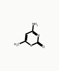 CC1=CC(N)=NC(=O)[N]1